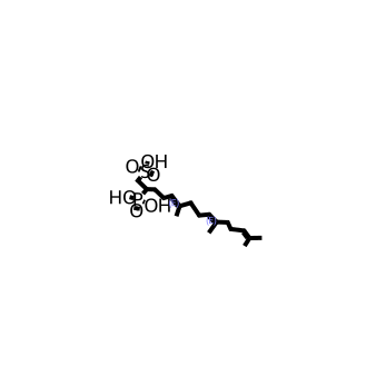 CC(C)=CCC/C(C)=C/CC/C(C)=C/CCC(CS(=O)(=O)O)P(=O)(O)O